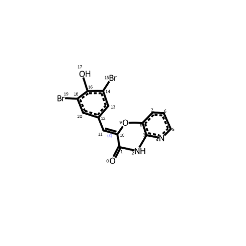 O=C1Nc2ncccc2O/C1=C\c1cc(Br)c(O)c(Br)c1